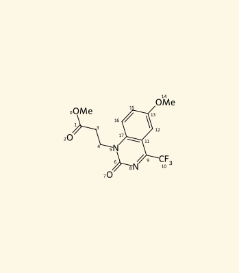 COC(=O)CCn1c(=O)nc(C(F)(F)F)c2cc(OC)ccc21